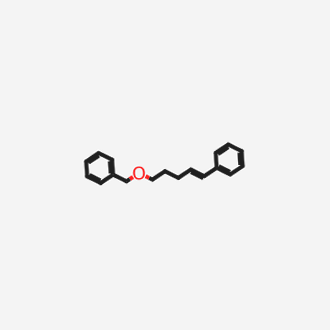 C(=Cc1ccccc1)CCCOCc1ccccc1